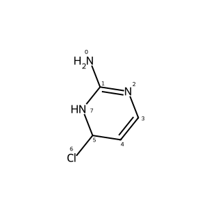 NC1=NC=CC(Cl)N1